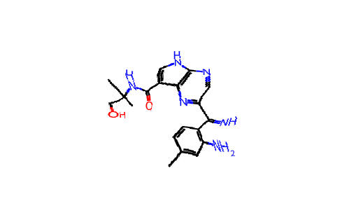 Cc1ccc(C(=N)c2cnc3[nH]cc(C(=O)NC(C)(C)CO)c3n2)c(N)c1